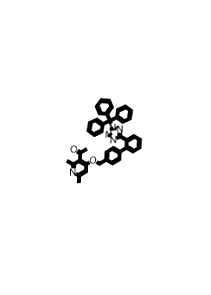 CC(=O)c1c(OCc2ccc(-c3ccccc3-c3nnn(C(c4ccccc4)(c4ccccc4)c4ccccc4)n3)cc2)cc(C)nc1C